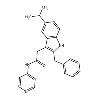 CC(C)c1ccc2[nH]c(Cc3ccccc3)c(CC(=O)Nc3ccncc3)c2c1